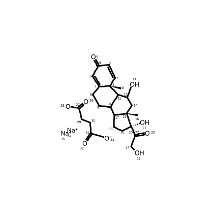 C[C@]12C=CC(=O)C=C1CCC1C2C(O)C[C@@]2(C)C1CC[C@]2(O)C(=O)CO.O=C([O-])CCC(=O)[O-].[Na+].[Na+]